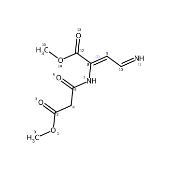 COC(=O)CC(=O)N/C(=C\C=N)C(=O)OC